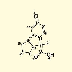 CC(C(=O)O)(c1ccc(Cl)cc1)C1CCCC1